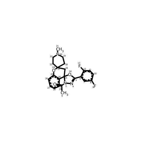 CC(=O)N1N=C(c2cc(F)ccc2F)OC12CC1(CCN(C)CC1)Oc1ccccc12